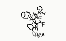 COc1cccc2c1nc(C(F)F)n2-c1nc(NN2CCCC2)nc(N2CCOCC2)n1